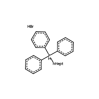 Br.CCCCCCC[PH](c1ccccc1)(c1ccccc1)c1ccccc1